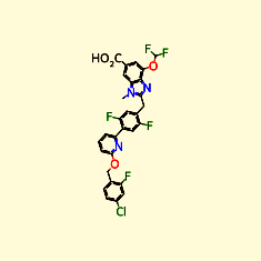 Cn1c(Cc2cc(F)c(-c3cccc(OCc4ccc(Cl)cc4F)n3)cc2F)nc2c(OC(F)F)cc(C(=O)O)cc21